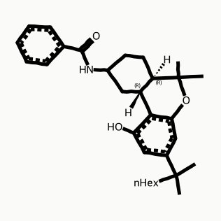 CCCCCCC(C)(C)c1cc(O)c2c(c1)OC(C)(C)[C@@H]1CCC(NC(=O)c3ccccc3)C[C@@H]21